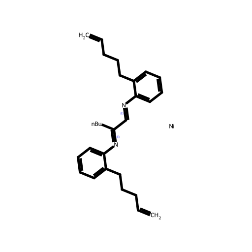 C=CCCCc1ccccc1/N=C/C(CCCC)=N/c1ccccc1CCCC=C.[Ni]